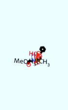 COC(=O)CCNC(=O)C1O[PH](O)(OCc2ccccc2)OCC1(C)C